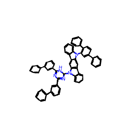 c1ccc(-c2cccc(C3=NC(n4c5ccccc5c5cc6c(cc54)c4ccccc4n6-c4cc(-c5ccccc5)ccc4-c4ccccc4)NC(c4cccc(-c5ccccc5)c4)=N3)c2)cc1